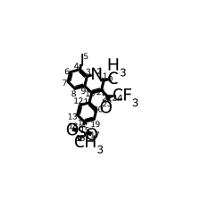 Cc1nc2c(I)cccc2c(-c2ccc(S(C)(=O)=O)cc2)c1C(=O)C(F)(F)F